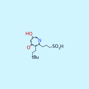 CC(C)(C)CCc1c(CCCS(=O)(=O)O)ncc(O)cc1=O